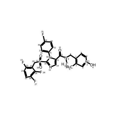 Cc1c[n+](O)ccc1CN(C)C(=O)c1cnc(S(=O)(=O)Cc2c(F)ccc(F)c2F)n1-c1ccc(F)cc1